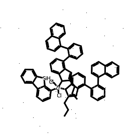 CCCC1=Cc2c(-c3ccccc3-c3cccc4ccccc34)cccc2[CH]1[Zr]([Cl])([Cl])([c]1cccc2c1[SiH2]c1ccccc1-2)[CH]1C(CCC)=Cc2c(-c3ccccc3-c3cccc4ccccc34)cccc21